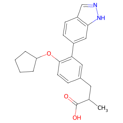 CC(Cc1ccc(OC2CCCC2)c(-c2ccc3cn[nH]c3c2)c1)C(=O)O